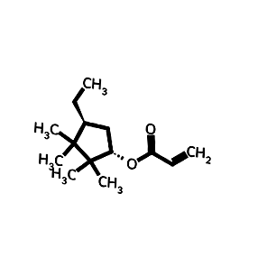 C=CC(=O)O[C@H]1C[C@H](CC)C(C)(C)C1(C)C